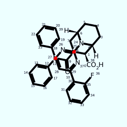 O=C(O)[C@@H]1[C@H]2CCC[C@@H](CN1C(=O)N(c1ccccc1)c1ccccc1)N2c1nccc(-c2ccccc2F)n1